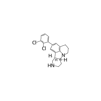 Clc1cccc(-c2cc3c4c(c2)[C@@H]2CNCC[C@@H]2N4CCC3)c1Cl